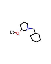 CCO[C@@H]1CCCN(CC2CCCCC2)C1